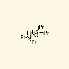 CC(C)[SiH](OO[SiH](C(C)C)C(C)C)C(C)C